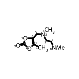 CNCCN(C)Cc1oc(=O)oc1C